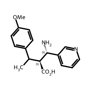 COc1ccc(C(C)[C@H](C(=O)O)[C@H](N)c2cccnc2)cc1